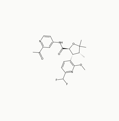 COc1nc(C(F)F)ccc1[C@@H]1[C@@H](C(=O)Nc2ccnc(C(C)=O)c2)OC(C)(C)[C@@H]1C